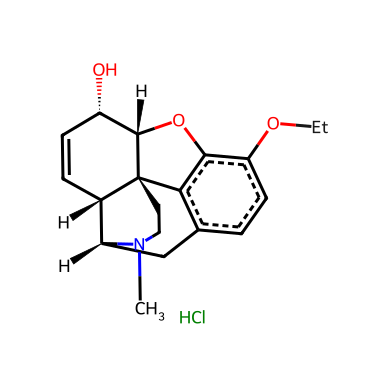 CCOc1ccc2c3c1O[C@H]1[C@@H](O)C=C[C@H]4[C@@H](C2)N(C)CC[C@@]341.Cl